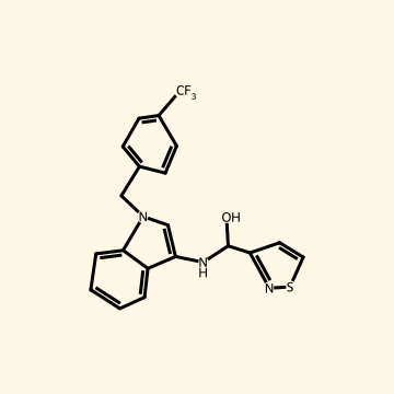 OC(Nc1cn(Cc2ccc(C(F)(F)F)cc2)c2ccccc12)c1ccsn1